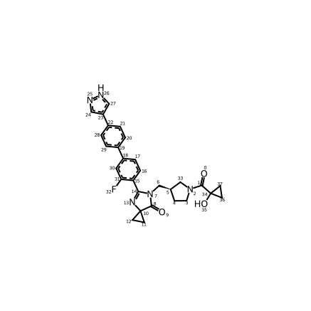 O=C(N1CC[C@@H](CN2C(=O)C3(CC3)N=C2c2ccc(-c3ccc(-c4cn[nH]c4)cc3)cc2F)C1)C1(O)CC1